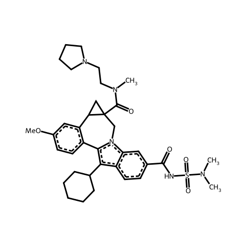 COc1ccc2c(c1)C1CC1(C(=O)N(C)CCN1CCCC1)Cn1c-2c(C2CCCCC2)c2ccc(C(=O)NS(=O)(=O)N(C)C)cc21